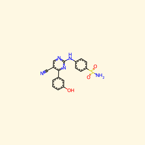 N#Cc1cnc(Nc2ccc(S(N)(=O)=O)cc2)nc1-c1cccc(O)c1